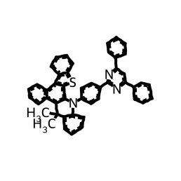 CC1(C)c2ccccc2N(c2ccc(-c3nc(-c4ccccc4)cc(-c4ccccc4)n3)cc2)c2c1c1ccccc1c1c2sc2ccccc21